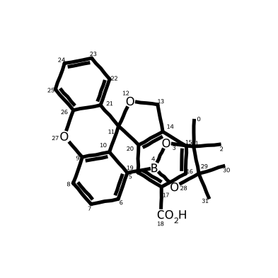 CC1(C)OB(c2cccc3c2C2(OCc4ccc(C(=O)O)cc42)c2ccccc2O3)OC1(C)C